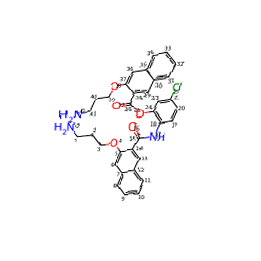 NCCCOc1cc2ccccc2cc1C(=O)Nc1ccc(Cl)cc1OC(=O)c1cc2ccccc2cc1OCCCN